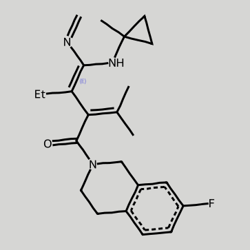 C=N/C(NC1(C)CC1)=C(\CC)C(C(=O)N1CCc2ccc(F)cc2C1)=C(C)C